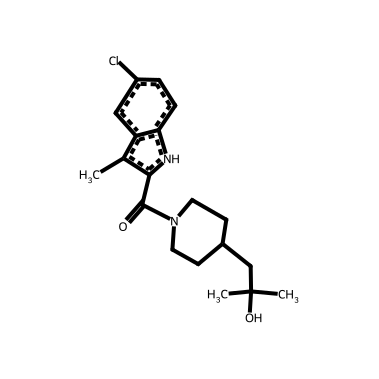 Cc1c(C(=O)N2CCC(CC(C)(C)O)CC2)[nH]c2ccc(Cl)cc12